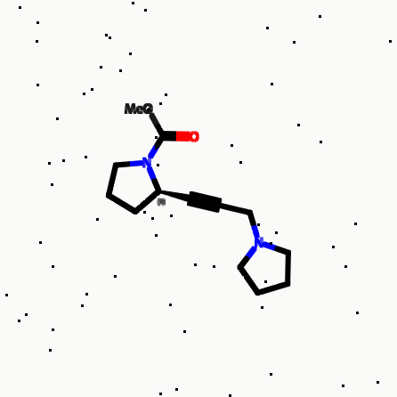 COC(=O)N1CCC[C@@H]1C#CCN1CCCC1